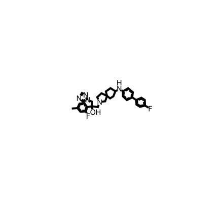 Cc1ccc(C(O)(CN2CCC3(CCC(Nc4ccc(-c5ccc(F)cc5)cc4)CC3)C2)Cn2cncn2)c(F)c1